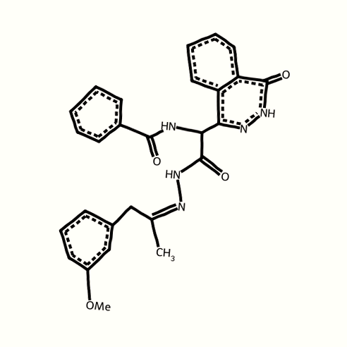 COc1cccc(CC(C)=NNC(=O)C(NC(=O)c2ccccc2)c2n[nH]c(=O)c3ccccc23)c1